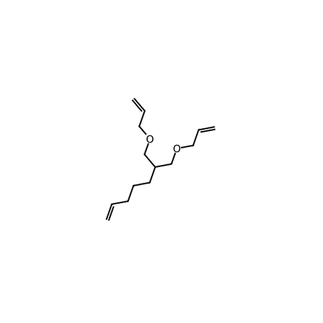 C=CCCCC(COCC=C)COCC=C